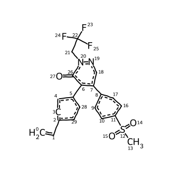 C=Cc1ccc(-c2c(-c3ccc(S(C)(=O)=O)cc3)cnn(CC(F)(F)F)c2=O)cc1